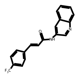 O=C(C=Cc1ccc(C(F)(F)F)cc1)Nc1cnc2ccccc2c1